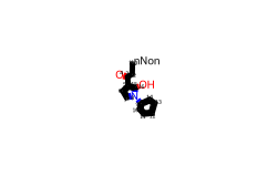 CCCCCCCCCCCC(=O)c1ccn(-c2ccccc2)c1O